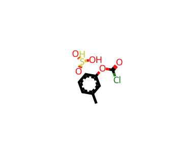 Cc1cccc(OC(=O)Cl)c1.O=[SH](=O)O